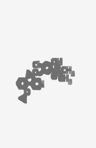 CN(C)S(=O)(=O)c1cc(COC2(c3cnccc3-c3ccccc3OC3CC3)CC2)c(Cl)cc1O